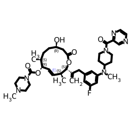 C=C(Cc1cc(F)cc(N(C)C2CCN(C(=O)c3cnccn3)CC2)c1)[C@H]1OC(=O)C[C@H](O)CC[C@H](C)[C@@H](OC(=O)N2CCN(C)CC2)/C=C/[C@@H]1C